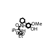 CCS(=O)(=O)N[C@H](C(=O)N[C@H]1CCCC[C@@H]1c1ccc(O)c(OC)c1)C(C)C